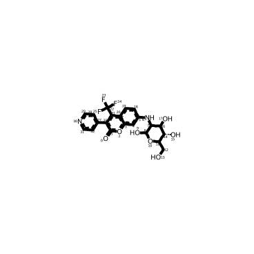 O=c1oc2cc(NC3C(O)OC(CO)[C@@H](O)C3O)ccc2c(C(F)(F)F)c1-c1ccncc1